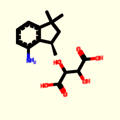 C[C@@H]1CC(C)(C)c2cccc(N)c21.O=C(O)C(O)C(O)C(=O)O